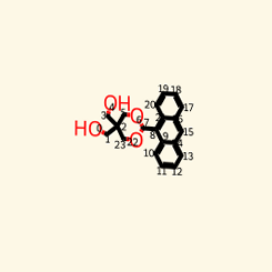 OCC1(CO)COC(c2c3ccccc3cc3ccccc23)OC1